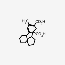 CC1=C(C(=O)O)CC(C(=O)O)(C2CCCCC2)C(C2CCCCC2)=C1